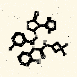 O=C(NC1CC(F)(F)C1)[C@H](c1ccccc1Cl)N(C[C@@H]1CCC(=O)N1c1nccs1)c1cccc(F)c1